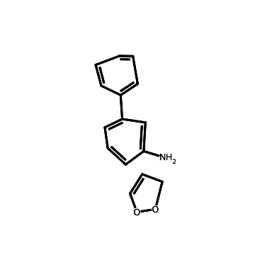 C1=COOC1.Nc1cccc(-c2ccccc2)c1